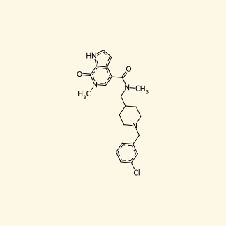 CN(CC1CCN(Cc2cccc(Cl)c2)CC1)C(=O)c1cn(C)c(=O)c2[nH]ccc12